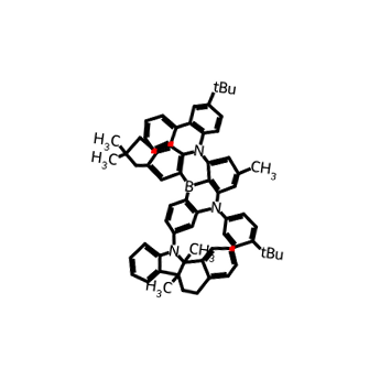 Cc1cc2c3c(c1)N(c1ccc(C(C)(C)C)cc1-c1ccccc1)c1cc4c(cc1B3c1ccc(N3c5ccccc5C5(C)CCc6ccccc6C35C)cc1N2c1ccc(C(C)(C)C)cc1)CC(C)(C)C4